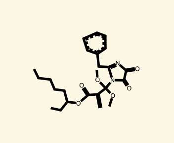 C=C(C(=O)OC(CC)CCCCC)C(OC)(OC)N1C(=O)C(=O)N=C1Cc1ccccc1